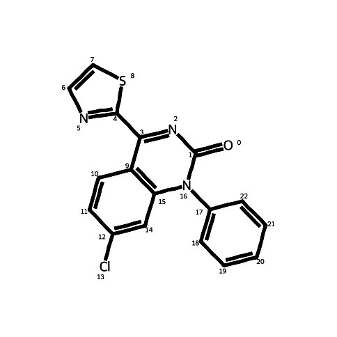 O=c1nc(-c2nccs2)c2ccc(Cl)cc2n1-c1ccccc1